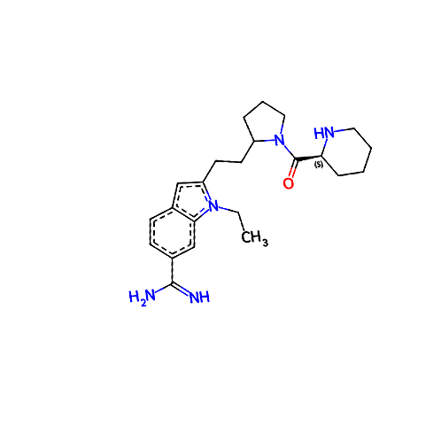 CCn1c(CCC2CCCN2C(=O)[C@@H]2CCCCN2)cc2ccc(C(=N)N)cc21